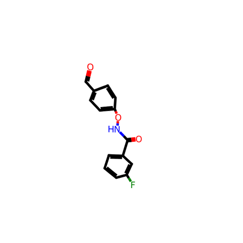 O=Cc1ccc(ONC(=O)c2cccc(F)c2)cc1